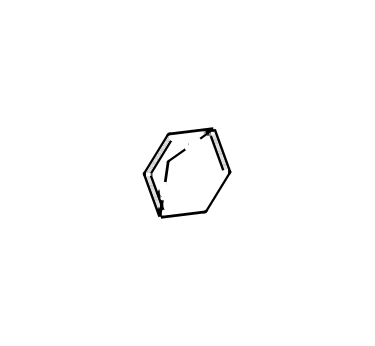 C1=CC2=CCC=1CCC2